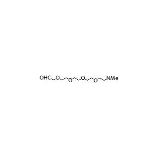 CNCCOCCOCCOCCOCC=O